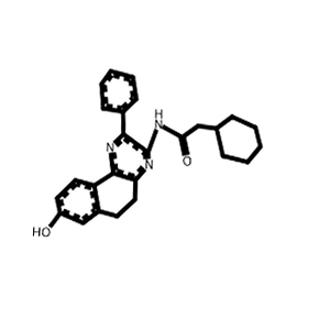 O=C(CC1CCCCC1)Nc1nc2c(nc1-c1ccccc1)-c1ccc(O)cc1CC2